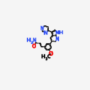 COc1cc(C=CC(N)=O)cc(-c2cnc3[nH]cc(-c4ccncn4)c3c2)c1